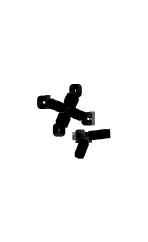 O=S(=O)(Cl)Cl.[CH3][Sn][CH3]